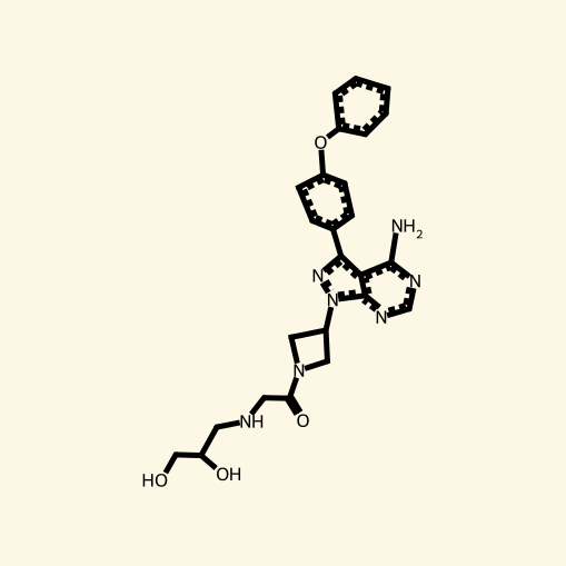 Nc1ncnc2c1c(-c1ccc(Oc3ccccc3)cc1)nn2C1CN(C(=O)CNCC(O)CO)C1